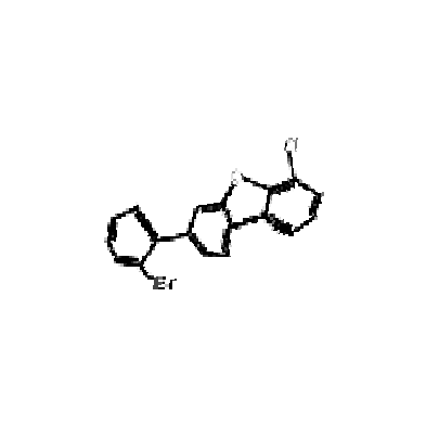 Clc1cccc2c1oc1cc(-c3ccccc3Br)ccc12